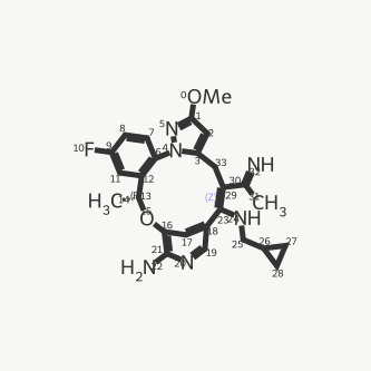 COc1cc2n(n1)-c1ccc(F)cc1[C@@H](C)Oc1cc(cnc1N)/C(NCC1CC1)=C(/C(C)=N)C2